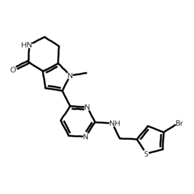 Cn1c(-c2ccnc(NCc3cc(Br)cs3)n2)cc2c1CCNC2=O